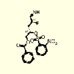 N=C[C@@H](F)C[C@@H](COC(=O)c1ccccc1)OS(=O)(=O)c1ccccc1[N+](=O)[O-]